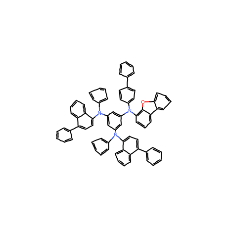 c1ccc(-c2ccc(N(c3cc(N(c4ccccc4)c4ccc(-c5ccccc5)c5ccccc45)cc(N(c4ccccc4)c4ccc(-c5ccccc5)c5ccccc45)c3)c3cccc4c3oc3ccccc34)cc2)cc1